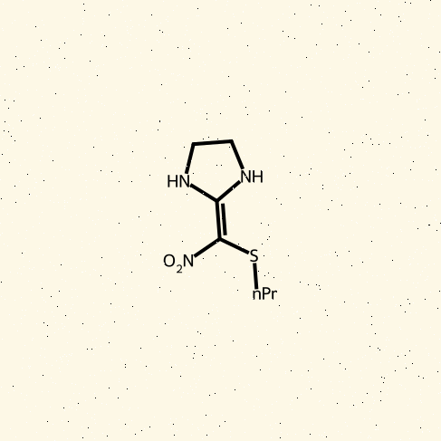 CCCSC(=C1NCCN1)[N+](=O)[O-]